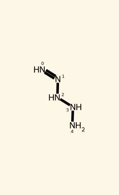 N=NNNN